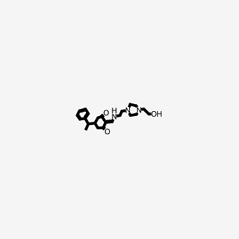 CC(c1ccccc1)C1CC(=O)C(=CNCCN2CCN(CCO)CC2)C(=O)C1